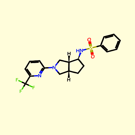 O=S(=O)(N[C@H]1CC[C@@H]2CN(c3cccc(C(F)(F)F)n3)C[C@@H]21)c1ccccc1